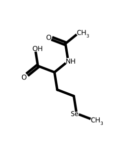 C[Se]CCC(NC(C)=O)C(=O)O